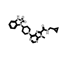 Cn1c(C(=O)NCC2CC2)nc2c(N3CCC(N4c5ccccc5NS4(=O)=O)CC3)ncnc21